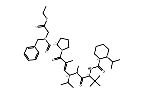 CCOC(=O)CN(Cc1ccccc1)C(=O)[C@@H]1CCCN1C(=O)/C(C)=C/[C@H](C(C)C)N(C)C(=O)[C@@H](NC(=O)[C@H]1CCCCN1C(C)C)C(C)(C)C